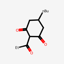 CCCCC1CC(=O)C(C(=O)CC)C(=O)C1